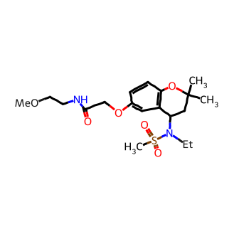 CCN(C1CC(C)(C)Oc2ccc(OCC(=O)NCCOC)cc21)S(C)(=O)=O